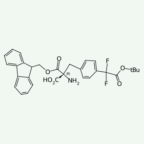 CC(C)(C)OC(=O)C(F)(F)c1ccc(C[C@@](N)(C(=O)O)C(=O)OCC2c3ccccc3-c3ccccc32)cc1